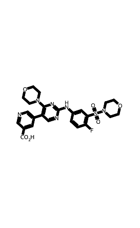 O=C(O)c1cncc(-c2cnc(Nc3ccc(F)c(S(=O)(=O)N4CCOCC4)c3)nc2N2CCOCC2)c1